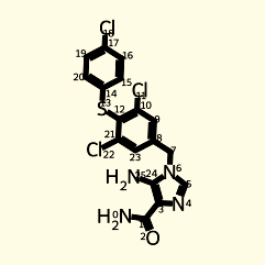 NC(=O)c1ncn(Cc2cc(Cl)c(Sc3ccc(Cl)cc3)c(Cl)c2)c1N